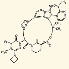 CCn1c(-c2cccnc2[C@H](C)OC)c2c3cc(ccc31)-c1csc(n1)C[C@H](NC(=O)C(C(C)C)N(C)C(=O)N1CCC1)C(=O)N1CCC[C@H](N1)C(=O)OCC(C)(C)C2